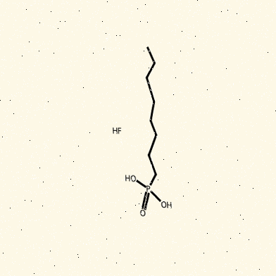 CCCCCCCCP(=O)(O)O.F